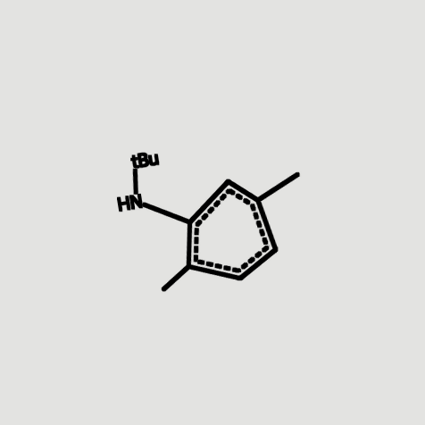 Cc1ccc(C)c(NC(C)(C)C)c1